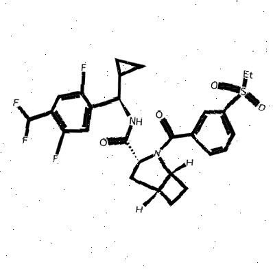 CCS(=O)(=O)c1cccc(C(=O)N2[C@@H](C(=O)N[C@@H](c3cc(F)c(C(F)F)cc3F)C3CC3)C[C@H]3CC[C@H]32)c1